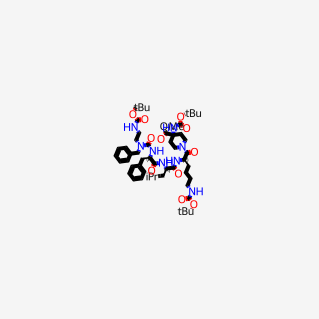 COC(=O)C1(NC(=O)OC(C)(C)C)CCN(C(=O)[C@@H](CCCCNC(=O)OC(C)(C)C)NC(=O)[C@@H](CC(C)C)NC(=O)[C@@H](Cc2ccccc2)NC(=O)N(CCNC(=O)OC(C)(C)C)Cc2ccccc2)CC1